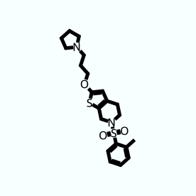 Cc1ccccc1S(=O)(=O)N1CCc2cc(OCCCN3CCCC3)sc2C1